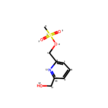 CS(=O)(=O)OCc1cccc(CO)n1